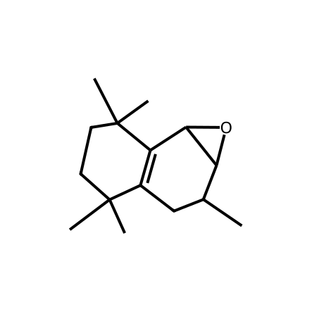 CC1CC2=C(C3OC13)C(C)(C)CCC2(C)C